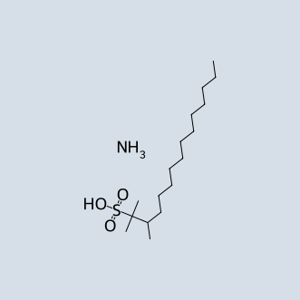 CCCCCCCCCCCCC(C)C(C)(C)S(=O)(=O)O.N